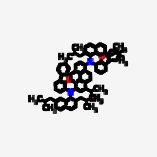 CC(C)Cc1ccc2ccc(CC(C)C)c(N(c3ccc4ccc5c(N(c6c(CC(C)C)ccc7ccc(CC(C)C)cc67)c6cccc7c6oc6ccccc67)cc(C(C)C)c6ccc3c4c65)c3cccc4c3oc3ccccc34)c2c1